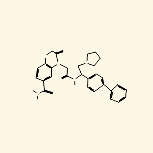 CN(C)C(=O)c1ccc2c(c1)N(CC(=O)N(C)C(CN1CCCC1)c1ccc(-c3ccccc3)cc1)C(=O)CO2